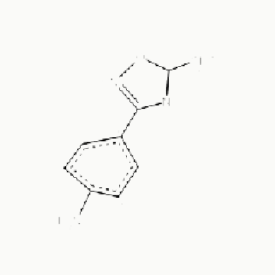 Nc1ccc(C2=NOC(C=O)N2)cc1